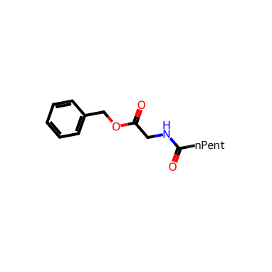 CCCCCC(=O)NCC(=O)OCc1ccccc1